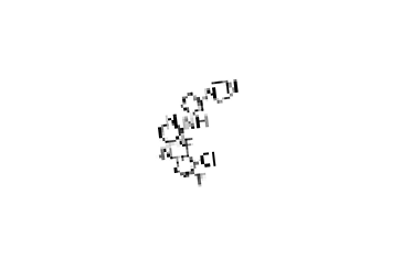 CN1CCN(c2cccc(Nc3nccc(N(C)c4ccc(F)c(Cl)c4F)n3)c2)CC1